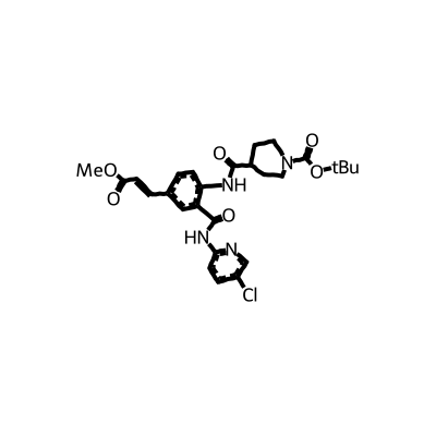 COC(=O)C=Cc1ccc(NC(=O)C2CCN(C(=O)OC(C)(C)C)CC2)c(C(=O)Nc2ccc(Cl)cn2)c1